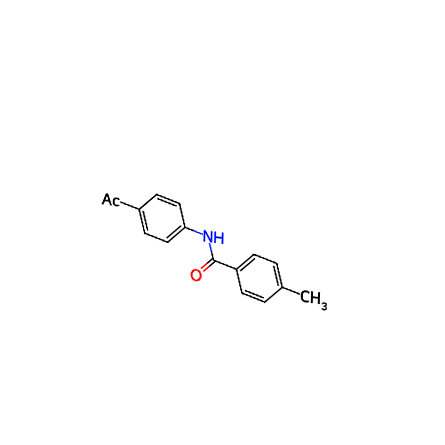 CC(=O)c1ccc(NC(=O)c2ccc(C)cc2)cc1